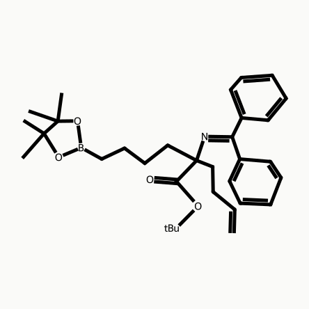 C=CCCC(CCCCB1OC(C)(C)C(C)(C)O1)(N=C(c1ccccc1)c1ccccc1)C(=O)OC(C)(C)C